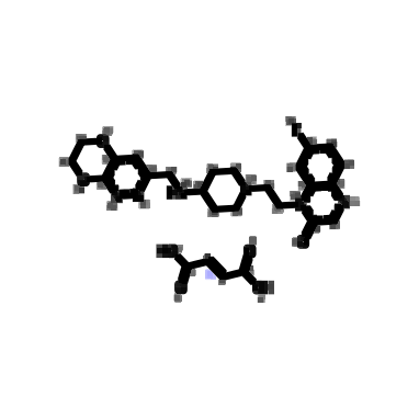 O=C(O)/C=C/C(=O)O.O=c1cnc2ccc(F)cc2n1CCN1CCC(NCc2cc3c(nn2)OCCO3)CC1